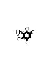 Nc1c(Cl)c(Cl)cc(Cl)c1Cl